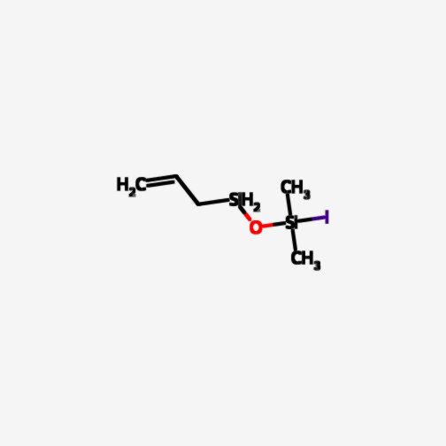 C=CC[SiH2]O[Si](C)(C)I